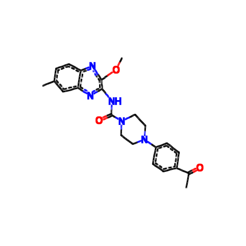 COc1nc2ccc(C)cc2nc1NC(=O)N1CCN(c2ccc(C(C)=O)cc2)CC1